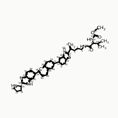 C=C(CCCNC(=O)[C@@H](NC(=O)OC)C(C)C)c1nc2ccc(-c3ccc4cc(-c5ccc6nc([C@@H]7CCCN7)[nH]c6c5)ccc4c3)cc2[nH]1